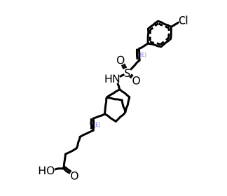 O=C(O)CCC/C=C/C1CC2CC(NS(=O)(=O)/C=C/c3ccc(Cl)cc3)C1C2